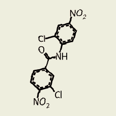 O=C(Nc1ccc([N+](=O)[O-])cc1Cl)c1ccc([N+](=O)[O-])c(Cl)c1